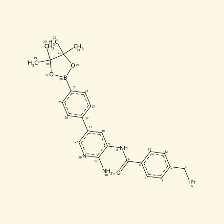 CC(C)Cc1ccc(C(=O)Nc2cc(-c3ccc(B4OC(C)(C)C(C)(C)O4)cc3)cnc2N)cc1